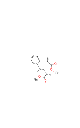 C=C(C=C(C)c1ccccc1)C(=O)OCCCC.C=CC(=O)OC(C)C